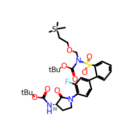 CC(C)(C)OC(=O)N[C@H]1CCN(c2ccc(-c3ccccc3S(=O)(=O)N(COCC[Si](C)(C)C)C(=O)OC(C)(C)C)cc2F)C1=O